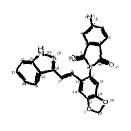 Nc1ccc2c(c1)C(=O)N(c1cc3c(cc1C=Cc1n[nH]c4ccccc14)OCO3)C2=O